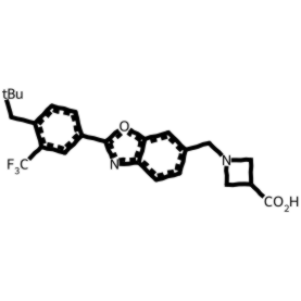 CC(C)(C)Cc1ccc(-c2nc3ccc(CN4CC(C(=O)O)C4)cc3o2)cc1C(F)(F)F